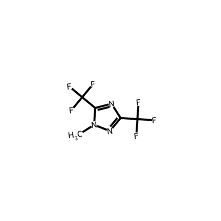 Cn1nc(C(F)(F)F)nc1C(F)(F)F